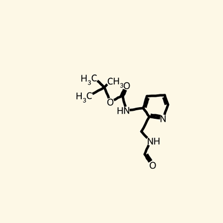 CC(C)(C)OC(=O)Nc1cccnc1CNC=O